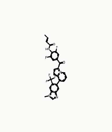 CC=CC(=O)Nc1c(F)cc(C(=O)c2ccc3c(-c4cc5ncn(C)c5cc4C(F)(F)F)cccn23)cc1F